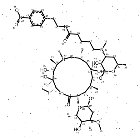 CC[C@H]1OC(=O)[C@H](C)[C@@H](O[C@H]2C[C@@](C)(OC)[C@@H](O)[C@H](C)O2)[C@H](C)[C@@H](O[C@@H]2O[C@H](C)C[C@H](N(C)CCCCC(=O)NCCc3ccc([N+](=O)[O-])cc3)[C@H]2O)[C@](C)(O)C[C@@H](C)CN(C)[C@H](C)[C@@H](O)[C@]1(C)O